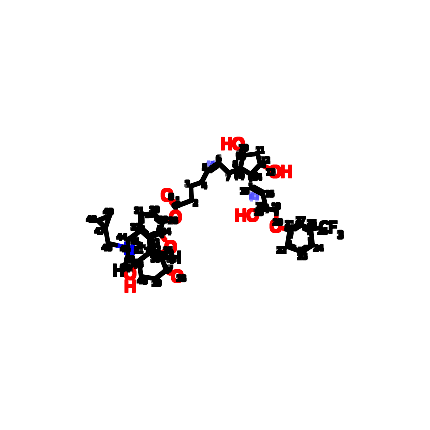 O=C(CCC/C=C\C[C@H]1[C@@H](O)CC(O)[C@@H]1/C=C/[C@@H](O)COc1cccc(C(F)(F)F)c1)Oc1ccc2c3c1O[C@H]1C(=O)CC[C@@]4(O)[C@@H](C2)N(CC2CC2)CC[C@]314